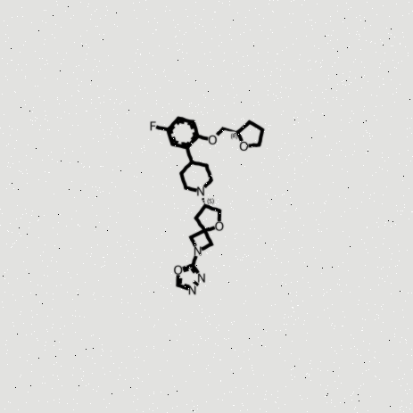 Fc1ccc(OC[C@H]2CCCO2)c(C2CCN([C@@H]3COC4(C3)CN(c3nnco3)C4)CC2)c1